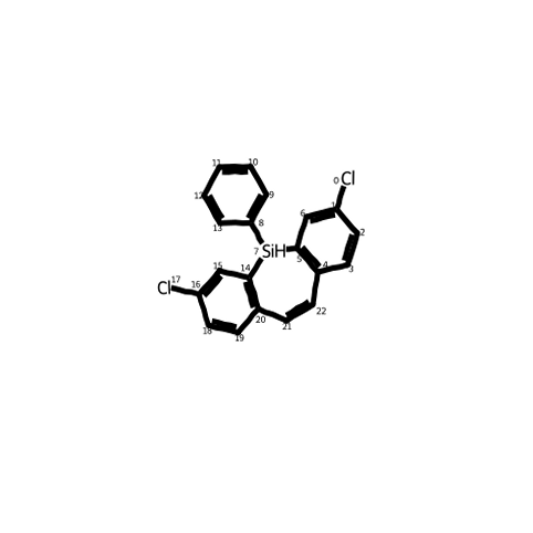 Clc1ccc2c(c1)[SiH](c1ccccc1)c1cc(Cl)ccc1C=C2